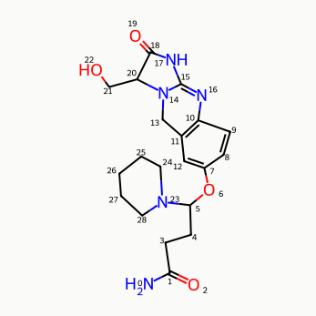 NC(=O)CCC(Oc1ccc2c(c1)CN1C(=N2)NC(=O)C1CO)N1CCCCC1